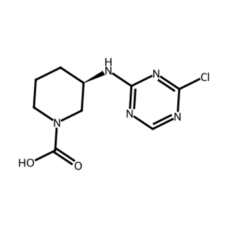 O=C(O)N1CCC[C@@H](Nc2ncnc(Cl)n2)C1